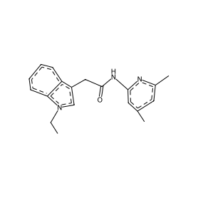 CCn1cc(CC(=O)Nc2cc(C)cc(C)n2)c2ccccc21